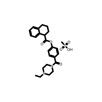 CCN1CCN(C(=O)c2ccc(OC(=O)C3CCCc4ccccc43)cc2)CC1.CS(=O)(=O)O